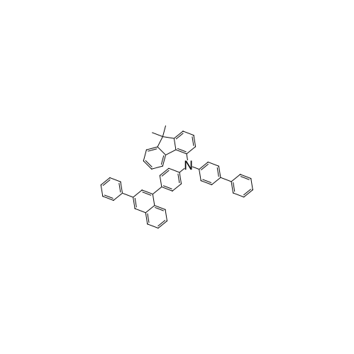 CC1(C)c2ccccc2-c2c(N(c3ccc(-c4ccccc4)cc3)c3ccc(-c4cc(-c5ccccc5)cc5ccccc45)cc3)cccc21